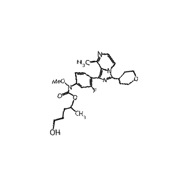 CON(C(=O)OC(C)CCCO)c1ccc(-c2nc(C3CCOCC3)n3ccnc(C)c23)c(F)c1